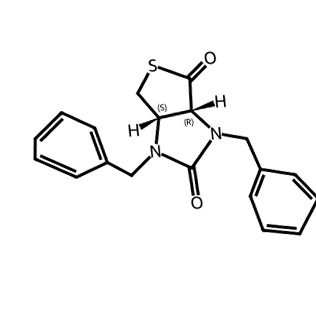 O=C1SC[C@@H]2[C@H]1N(Cc1ccccc1)C(=O)N2Cc1ccccc1